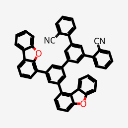 N#Cc1ccccc1-c1cc(-c2cc(-c3cccc4c3oc3ccccc34)cc(-c3cccc4oc5ccccc5c34)c2)cc(-c2ccccc2C#N)c1